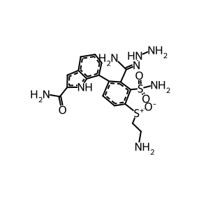 NCC[S+]([O-])c1ccc(-c2cccc3cc(C(N)=O)[nH]c23)c(/C(N)=N/NN)c1S(N)(=O)=O